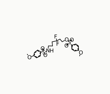 COc1ccc(S(=O)(=O)NCCCC(F)(F)CCOS(=O)(=O)c2ccc(OC)cc2)cc1